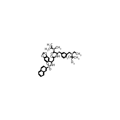 CCN(Cc1cccc(C[C@@H](NC(=O)CC(NS(=O)(=O)c2ccc3ccccc3c2)c2ccc3c(c2)OCO3)C(=O)N(C)C(C)C)c1)C(C)(C)C